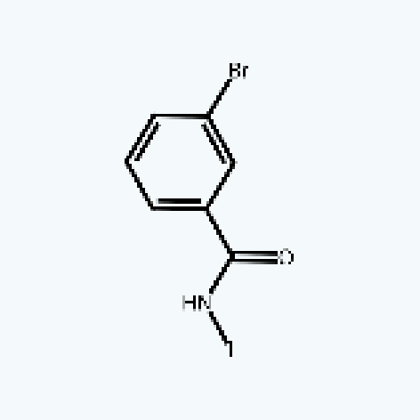 O=C(NI)c1cccc(Br)c1